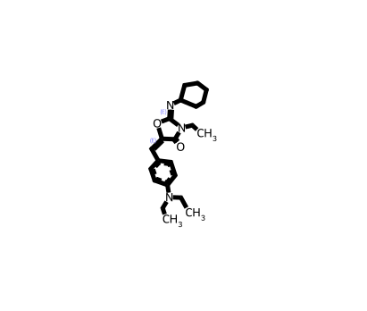 CCN1C(=O)/C(=C\c2ccc(N(CC)CC)cc2)O/C1=N/C1CCCCC1